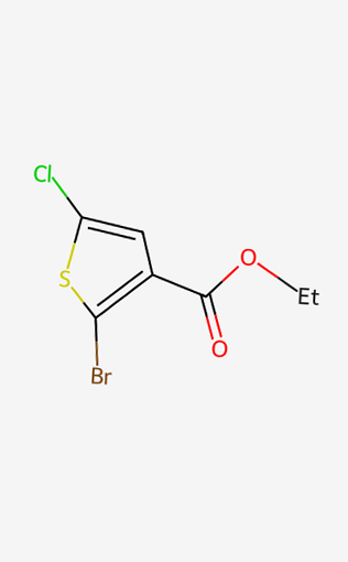 CCOC(=O)c1cc(Cl)sc1Br